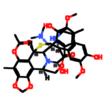 COc1cc2c(cc1O)CCN[C@]21CS[C@H]2c3c(OC(C)=O)c(C)c4c(c3[C@H](COC1=O)N1C2[C@@H](N(C)C)c2c(cc(C)c(OC)c2O)C[C@@H]1O)OCO4